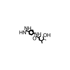 C/C(=C\C(C)[C@H](C)CO)C(=O)Nc1ccc(C(=N)N)cc1